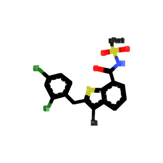 CCCCCS(=O)(=O)NC(=O)c1cccc2c(CC)c(Cc3ccc(Cl)cc3Cl)sc12